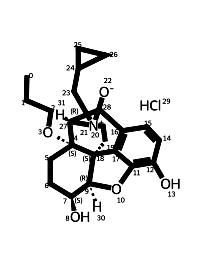 CCCO[C@@]12CC[C@H](O)[C@@H]3Oc4c(O)ccc5c4[C@@]31CC[N+]([O-])(CC1CC1)[C@@H]2C5.Cl